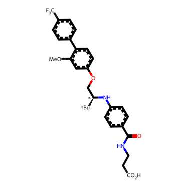 CCCC[C@@H](COc1ccc(-c2ccc(C(F)(F)F)cc2)c(OC)c1)Nc1ccc(C(=O)NCCC(=O)O)cc1